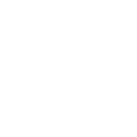 CC(=O)c1ccc(OC(C)(C)C)cc1